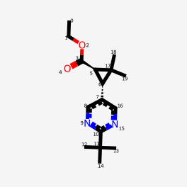 CCOC(=O)[C@@H]1[C@@H](c2cnc(C(C)(C)C)nc2)C1(C)C